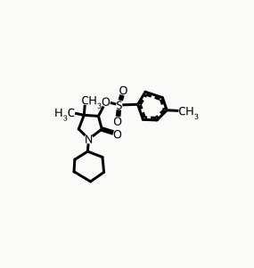 Cc1ccc(S(=O)(=O)OC2C(=O)N(C3CCCCC3)CC2(C)C)cc1